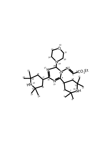 CCOC(=O)C=NN1C(C2CC(C)(C)NC(C)(C)C2)=NC(C2CC(C)(C)NC(C)(C)C2)=NC1N1CCOCC1